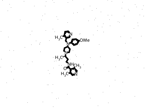 COc1ccc(N(Cc2cnccc2C)C2CCN([C@H](C)CCNC(=O)c3c(C)cncc3C)CC2)cc1